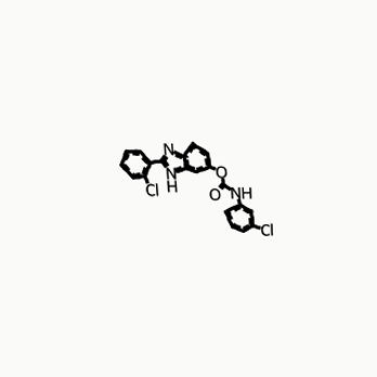 O=C(Nc1cccc(Cl)c1)Oc1ccc2nc(-c3ccccc3Cl)[nH]c2c1